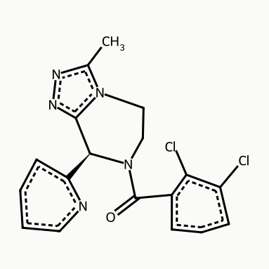 Cc1nnc2n1CCN(C(=O)c1cccc(Cl)c1Cl)[C@H]2c1ccccn1